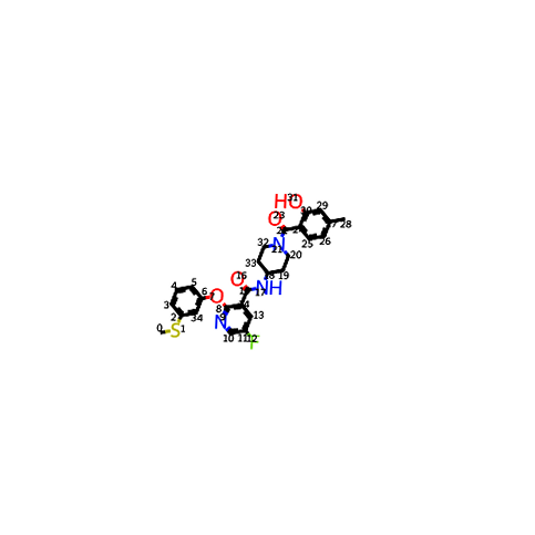 CSc1cccc(Oc2ncc(F)cc2C(=O)NC2CCN(C(=O)c3ccc(C)cc3O)CC2)c1